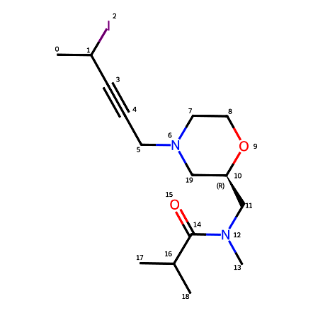 CC(I)C#CCN1CCO[C@@H](CN(C)C(=O)C(C)C)C1